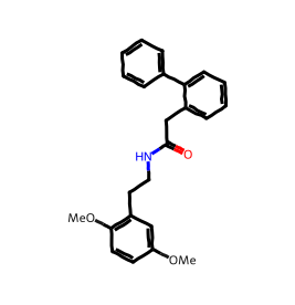 COc1ccc(OC)c(CCNC(=O)Cc2ccccc2-c2ccccc2)c1